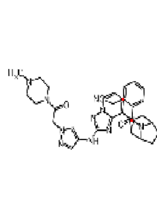 CN1CCN(C(=O)Cn2cc(Nc3nc4c(N5CC6CCC(C5)N6C(=O)c5ccccc5CC#N)cccn4n3)cn2)CC1